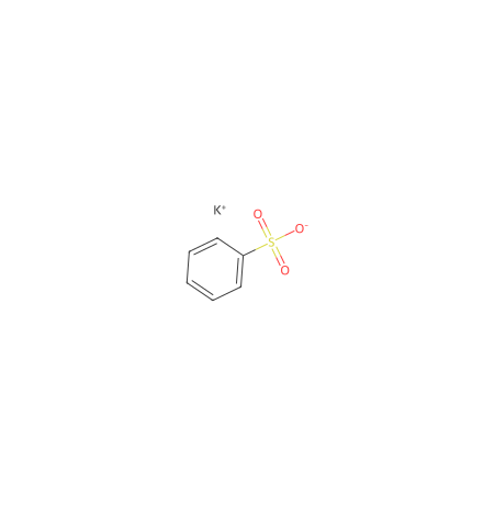 O=S(=O)([O-])c1ccccc1.[K+]